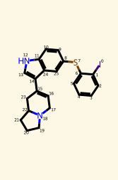 Ic1ccccc1Sc1ccc2[nH]cc(C3=CCN4CCCC4C3)c2c1